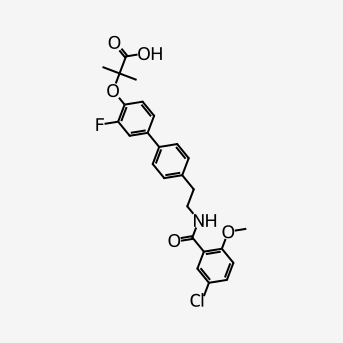 COc1ccc(Cl)cc1C(=O)NCCc1ccc(-c2ccc(OC(C)(C)C(=O)O)c(F)c2)cc1